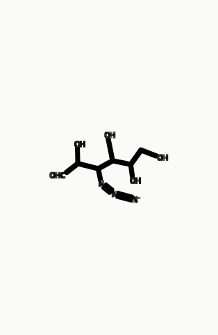 [N-]=[N+]=NC(C(O)C=O)C(O)C(O)CO